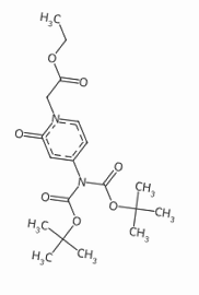 CCOC(=O)Cn1ccc(N(C(=O)OC(C)(C)C)C(=O)OC(C)(C)C)cc1=O